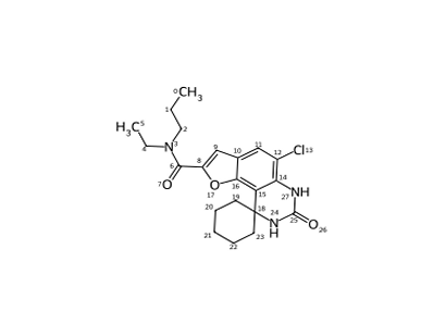 CCCN(CC)C(=O)c1cc2cc(Cl)c3c(c2o1)C1(CCCCC1)NC(=O)N3